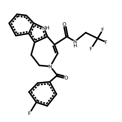 O=C(NCC(F)(F)F)C1=CN(C(=O)c2ccc(F)cc2)CCc2c1[nH]c1ccccc21